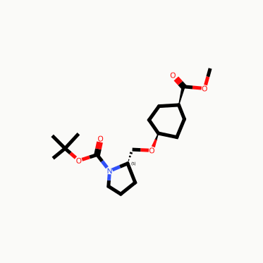 COC(=O)[C@H]1CC[C@@H](OC[C@@H]2CCCN2C(=O)OC(C)(C)C)CC1